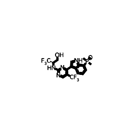 CP(C)(=O)c1cccc2c(-c3nc(N[C@@H](CO)C(F)(F)F)ncc3C(F)(F)F)c[nH]c12